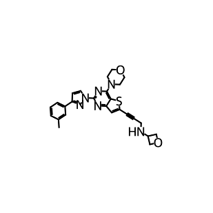 Cc1cccc(-c2ccn(-c3nc(N4CCOCC4)c4sc(C#CCNC5COC5)cc4n3)n2)c1